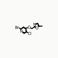 Cc1cnc(COc2cc(Br)ncc2Cl)o1